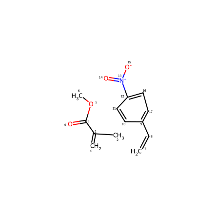 C=C(C)C(=O)OC.C=Cc1ccc([N+](=O)[O-])cc1